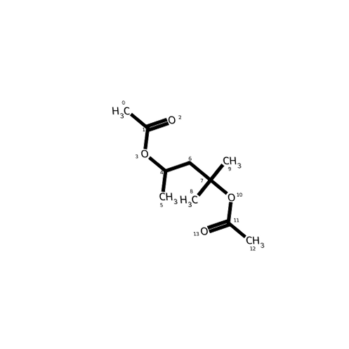 CC(=O)OC(C)CC(C)(C)OC(C)=O